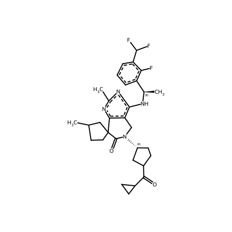 Cc1nc(N[C@H](C)c2cccc(C(F)F)c2F)c2c(n1)C1(CCC(C)C1)C(=O)N([C@@H]1CCC(C(=O)C3CC3)C1)C2